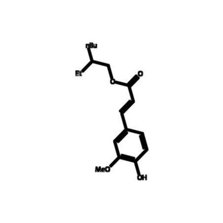 CCCCC(CC)COC(=O)C=Cc1ccc(O)c(OC)c1